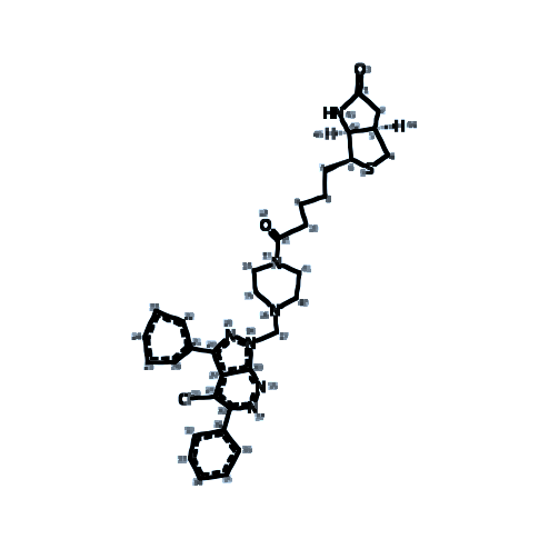 O=C1C[C@H]2CS[C@@H](CCCCC(=O)N3CCN(Cn4nc(-c5ccccc5)c5c(Cl)c(-c6ccccc6)nnc54)CC3)[C@H]2N1